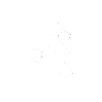 O=Cc1ccc(OCc2ccccc2)c(OCc2ccccc2)c1Cl